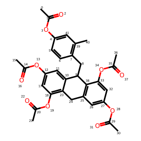 CC(=O)Oc1ccc(CC2c3cc(OC(C)=O)cc(OC(C)=O)c3Cc3cc(OC(C)=O)cc(OC(C)=O)c32)c(C)c1